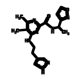 Cc1nc(C(=O)NC(C)c2ccon2)nc(NCCc2cn[nH]c2)c1C